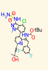 Cn1nc(NS(N)(=O)=O)c2c(Cl)ccc(-c3ccc(C#CC(C)(C)O)nc3[C@H](Cc3cc(F)cc(F)c3)NC(=O)OC(C)(C)C)c21